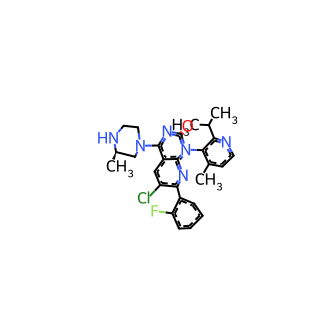 Cc1ccnc(C(C)C)c1-n1c(=O)nc(N2CCN[C@H](C)C2)c2cc(Cl)c(-c3ccccc3F)nc21